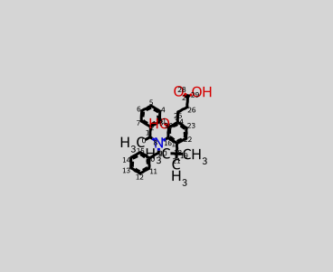 CC(c1ccccc1)N(Cc1ccccc1)c1c(C(C)(C)C)ccc(CCC(=O)O)c1O